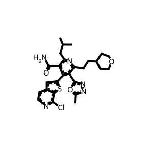 Cc1nnc(-c2c(CCC3CCOCC3)nc(CC(C)C)c(C(N)=O)c2-c2cc3ccnc(Cl)c3s2)o1